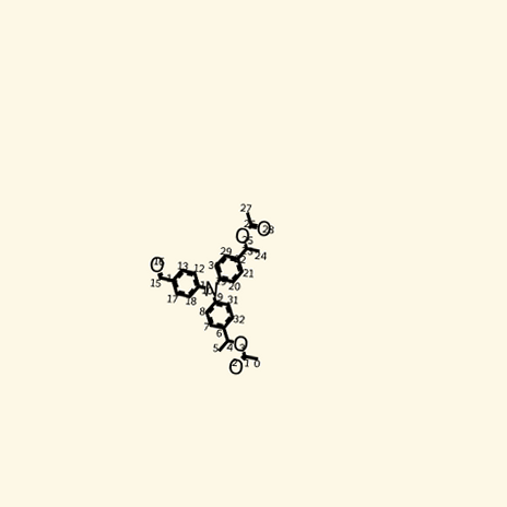 CC(=O)OC(C)c1ccc(N(c2ccc(C=O)cc2)c2ccc(C(C)OC(C)=O)cc2)cc1